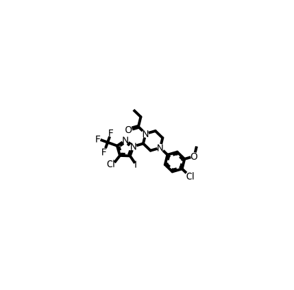 CCC(=O)N1CCN(c2ccc(Cl)c(OC)c2)CC1n1nc(C(F)(F)F)c(Cl)c1I